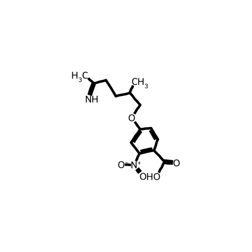 CC(=N)CCC(C)COc1ccc(C(=O)O)c([N+](=O)[O-])c1